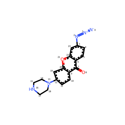 [N-]=[N+]=Nc1ccc2c(=O)c3ccc(N4CCNCC4)cc3oc2c1